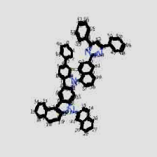 c1ccc(-c2ccc3c4cc5c6c7ccccc7ccc6n(-c6ccc7ccccc7c6)c5cc4n(-c4cccc5cc(-c6nc(-c7ccccc7)cc(-c7ccccc7)n6)ccc45)c3c2)cc1